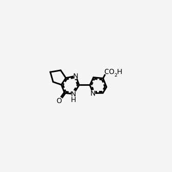 O=C(O)c1ccnc(-c2nc3c(c(=O)[nH]2)CCC3)c1